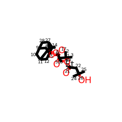 CCC(C)(C)C(=O)OC12CC3CC(C1)C(C)(OC(=O)COC(=O)CC(C)(C)O)C(C3)C2